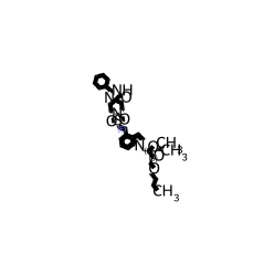 CCCCOC[C@@H]1OC(C)(C)O[C@H]1Cn1ccc2c(/C=C/S(=O)(=O)N3CCC4(CC3)N=C(C3CCCCC3)NC4=O)cccc21